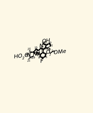 COCCOc1cc(F)cc(F)c1-c1c(-c2cc3n(n2)C[C@@H](C)N(C(=O)O)[C@H]3C)nc(O)c2ccsc12